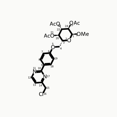 CO[C@H]1O[C@H](COc2ccc(-c3nccc(CCl)n3)cc2)[C@@H](OC(C)=O)[C@H](OC(C)=O)[C@H]1OC(C)=O